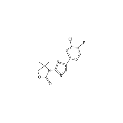 CC1(C)COC(=O)N1c1nc(-c2ccc(F)c(Cl)c2)cs1